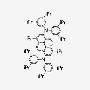 CC(C)c1cc(C(C)C)cc(N(c2cc(C(C)C)cc(C(C)C)c2)c2cc(C(C)C)c3ccc4c(N(c5cc(C(C)C)cc(C(C)C)c5)c5cc(C(C)C)cc(C(C)C)c5)cc(C(C)C)c5ccc2c3c54)c1